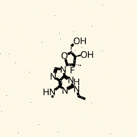 CCNc1nc(NC)c2ncn([C@@H]3O[C@H](CO)[C@@H](O)[C@@]3(C)F)c2n1